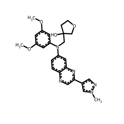 COc1cc(OC)cc(N(CC2(O)CCOC2)c2ccc3ncc(-c4cnn(C)c4)nc3c2)c1